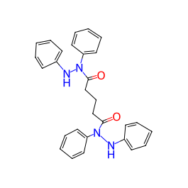 O=C(CCCC(=O)N(Nc1ccccc1)c1ccccc1)N(Nc1ccccc1)c1ccccc1